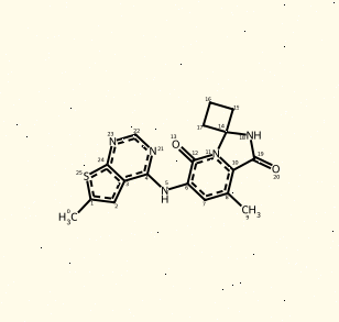 Cc1cc2c(Nc3cc(C)c4n(c3=O)C3(CCC3)NC4=O)ncnc2s1